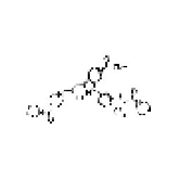 O=C(CSc1cc(-c2nn(CC(O)CN3CCC(C(=O)N4CCCC4)CC3)c3c2CN(C(=O)CO)CC3)ccc1C(F)(F)F)N1CCOCC1